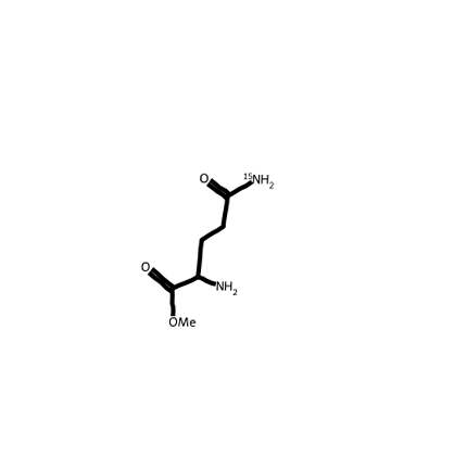 COC(=O)C(N)CCC([15NH2])=O